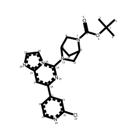 CC(C)(C)OC(=O)N1CC2CC1CN2c1nc(-c2ccnc(Cl)c2)cc2nccn12